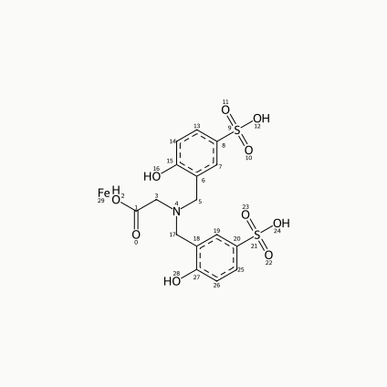 O=C(O)CN(Cc1cc(S(=O)(=O)O)ccc1O)Cc1cc(S(=O)(=O)O)ccc1O.[Fe]